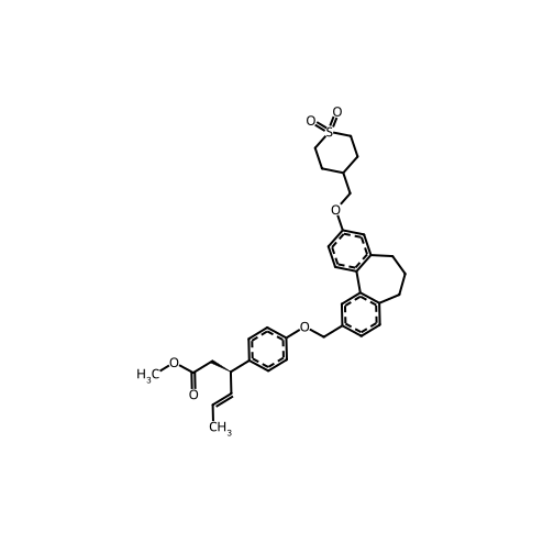 CC=C[C@@H](CC(=O)OC)c1ccc(OCc2ccc3c(c2)-c2ccc(OCC4CCS(=O)(=O)CC4)cc2CCC3)cc1